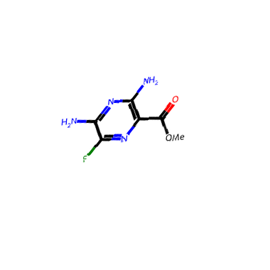 COC(=O)c1nc(F)c(N)nc1N